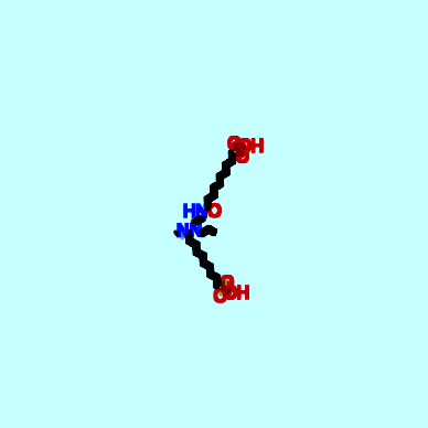 CCCN(CCNC(=O)CCCCCCCCCS(=O)(=O)O)/C(CCCCCCCCCS(=O)(=O)O)=N/C